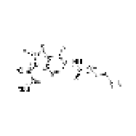 Cc1c(NC(=S)NCCN)ccc2c1nc(C)n2C(=O)OC(C)(C)C